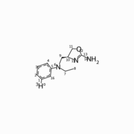 [3H]c1cccc(N(CC)C[C@H]2COC(N)=N2)c1